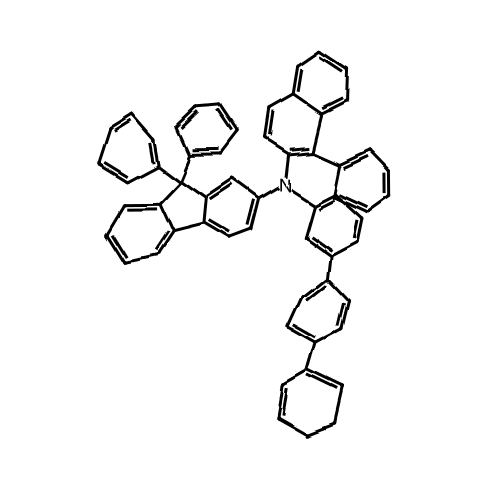 C1=CC(c2ccc(-c3cccc(N(c4ccc5c(c4)C(c4ccccc4)(c4ccccc4)c4ccccc4-5)c4ccc5ccccc5c4-c4ccccc4)c3)cc2)=CCC1